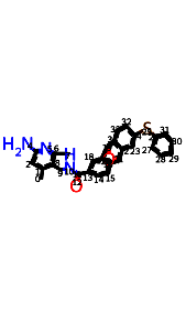 Cc1cc(N)nc(C)c1CNC(=O)c1ccc2c(c1)c1oc2c2cc(Sc3ccccc3)ccc21